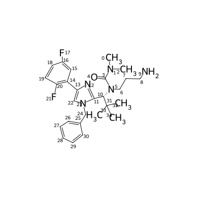 CN(C)C(=O)N(CCCN)[C@@H](c1nc(-c2cc(F)ccc2F)cn1Cc1ccccc1)C(C)(C)C